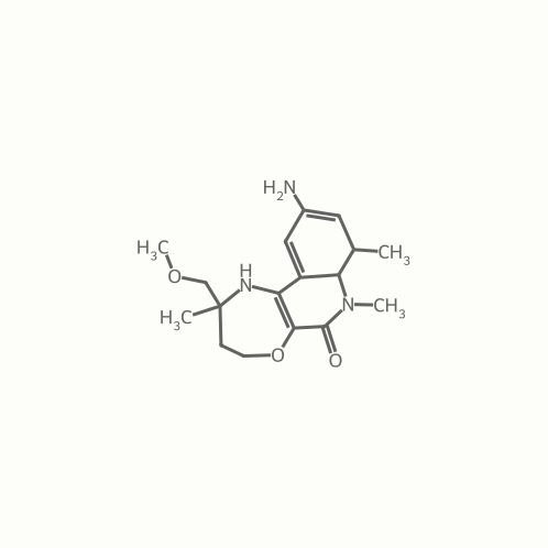 COCC1(C)CCOC2=C(N1)C1=CC(N)=CC(C)C1N(C)C2=O